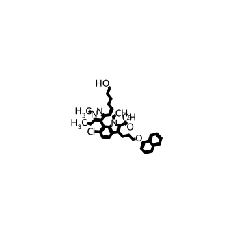 CCc1c(-c2c(Cl)ccc3c(CCCOc4cccc5ccccc45)c(C(=O)O)n(CC)c23)c(/C=C\CCCCO)nn1C